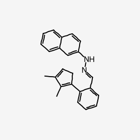 CC1=CCC(c2ccccc2/C=N/Nc2ccc3ccccc3c2)=C1C